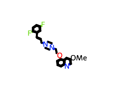 COc1cnc2cccc(OCCN3CCN(CC=Cc4cc(F)ccc4F)CC3)c2c1